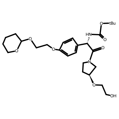 CC(C)(C)OC(=O)N[C@H](C(=O)N1CC[C@H](OCCO)C1)c1ccc(OCCOC2CCCCO2)cc1